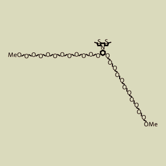 COCCOCCOCCOCCOCCOCCOCCOCCOCCOCCOCCOc1cc(OCCOCCOCCOCCOCCOCCOCCOCCOCCOCCOCCOC)cc(-n2c3cc(C)sc3c3sc(C)cc32)c1